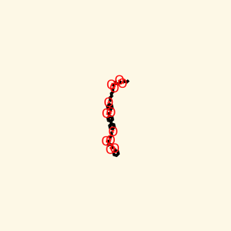 C=C(CC(=O)OCCC)C(=O)OCCCCCCOc1ccc(OC(=O)c2ccc(-c3ccc(OCCCOC(=O)C(=C)CC(=O)OC4CCCCC4)cc3)cc2)cc1